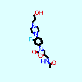 CC(=O)NCC1CN(c2ccc(N3CCN(CCCO)CC3)c(F)c2)C(=O)O1